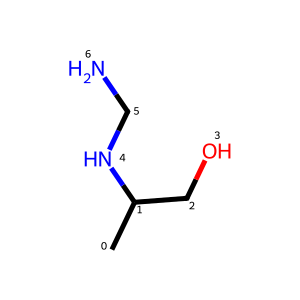 CC(CO)NCN